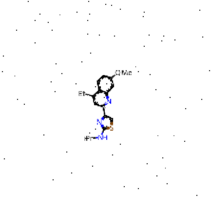 CCc1cc(-c2csc(NC(C)C)n2)nc2cc(OC)ccc12